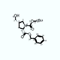 CC(C)(C)OC(=O)N1C[C@@H](CO)C[C@H]1C(=O)OCc1ccccc1